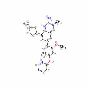 C=N/C=C1C=C(C(=C/C)/C(=C\C(=C)Oc2ccccn2)OC)C=C(C2CCN(C)C2)C/1=N/CN